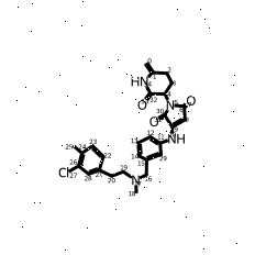 C=C1CCC(N2C(=O)C=C(Nc3cccc(CN(C)CCc4ccc(C)c(Cl)c4)c3)C2=O)C(=O)N1